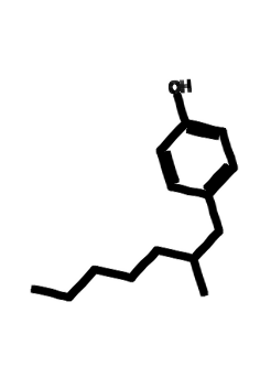 CCCCCC(C)Cc1ccc(O)cc1